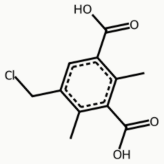 Cc1c(CCl)cc(C(=O)O)c(C)c1C(=O)O